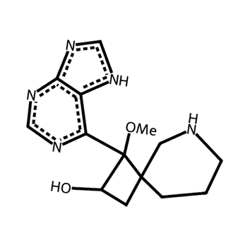 COC1(c2ncnc3nc[nH]c23)C(O)CC12CCCNC2